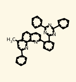 Cc1cc(-c2ccccc2)nc2c1ccc1ccc(-c3ccccc3-c3nc(-c4ccccc4)nc(-c4ccccc4)n3)nc12